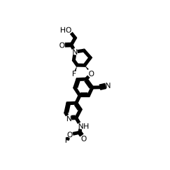 N#Cc1cc(-c2ccnc(NC(=O)OF)c2)ccc1O[C@H]1CCN(C(=O)CO)C[C@H]1F